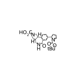 CC(C)(C)OC(=O)n1cccc1-c1ccc2c(c1)C(=O)NC[C@@H]1CN(C(=O)O)C[C@@H]21